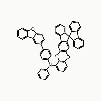 c1ccc(N(c2ccc(-c3ccc4oc5ccccc5c4c3)cc2)c2cccc3c2Oc2cc4c(cc2O3)C2(c3ccccc3-c3ccccc32)c2ccccc2-4)cc1